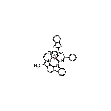 C/C=C\c1c(C)c2ccc3c4ccccc4n(C4=NCC(c5nc6ccccc6o5)=NC(c5ccccc5)=N4)c3c2n1-c1ccccc1